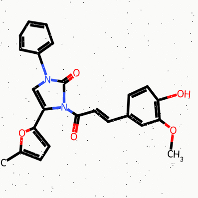 COc1cc(C=CC(=O)n2c(-c3ccc(C)o3)cn(-c3ccccc3)c2=O)ccc1O